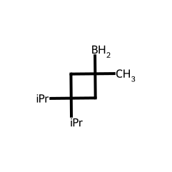 BC1(C)CC(C(C)C)(C(C)C)C1